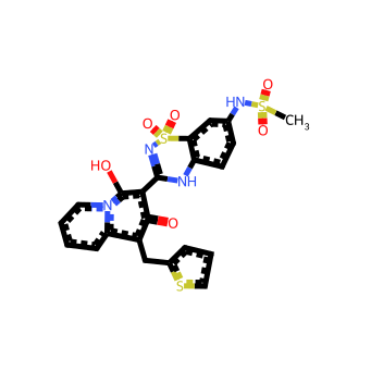 CS(=O)(=O)Nc1ccc2c(c1)S(=O)(=O)N=C(c1c(O)n3ccccc3c(Cc3cccs3)c1=O)N2